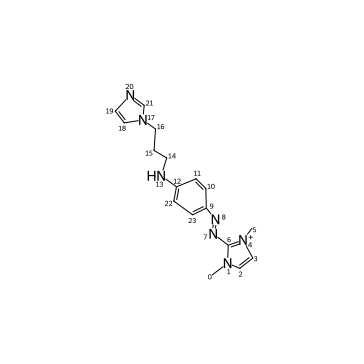 Cn1cc[n+](C)c1N=Nc1ccc(NCCCn2ccnc2)cc1